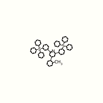 Cc1ccccc1-c1cc(-c2cccc(S(c3ccccc3)(c3ccccc3)c3ccccc3)c2)nc(-c2cccc(S(c3ccccc3)(c3ccccc3)c3ccccc3)c2)c1